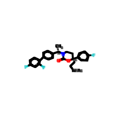 CC(=O)NCC[C@@]1(c2ccc(F)cc2)CCN([C@@H](C)c2ccc(-c3ccc(F)cc3F)cc2)C(=O)O1